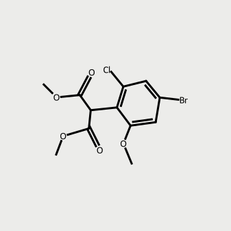 COC(=O)C(C(=O)OC)c1c(Cl)cc(Br)cc1OC